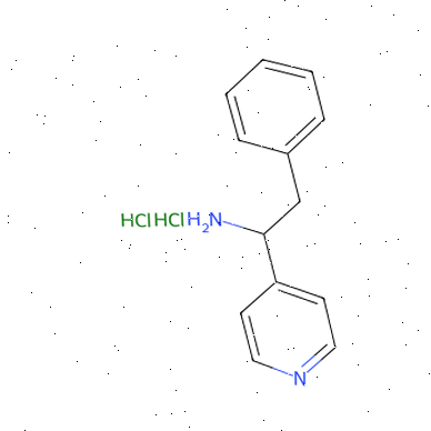 Cl.Cl.NC(Cc1ccccc1)c1ccncc1